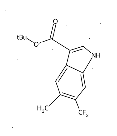 Cc1cc2c(C(=O)OC(C)(C)C)c[nH]c2cc1C(F)(F)F